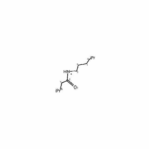 CC(C)CCCNC(=O)CC(C)C